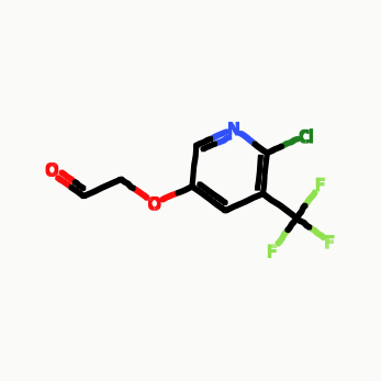 O=CCOc1cnc(Cl)c(C(F)(F)F)c1